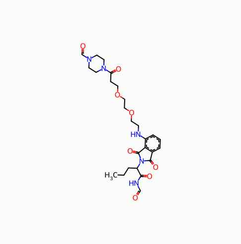 CCCC(C(=O)NC=O)N1C(=O)c2cccc(NCCOCCOCCC(=O)N3CCN(C=O)CC3)c2C1=O